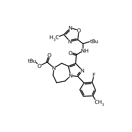 Cc1ccc(-c2nc(C(=O)NC(c3nc(C)no3)C(C)(C)C)c3n2CCCN(C(=O)OC(C)(C)C)C3)c(F)c1